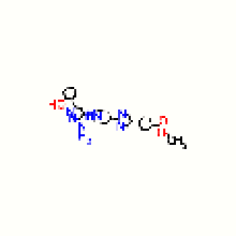 CCOC(=O)C1CC=C(c2cnc(C3CC4CN(c5cc(-c6ccccc6O)nnc5N)CC(C3)N4)nc2)CC1